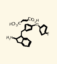 NC1Cc2ccccc2C1Cc1ccc(Oc2ccc(F)cc2)cc1.O=C(O)C=CC(=O)O